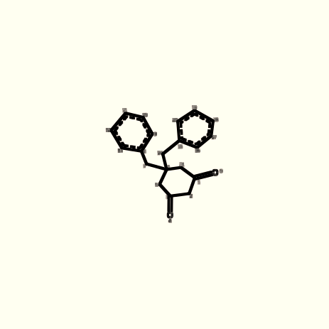 O=C1CC(=O)CC(Cc2ccccc2)(Cc2ccccc2)C1